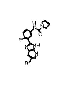 O=C(Nc1ccc(F)c(-c2nc3cc(Br)cnc3[nH]2)c1)N1CC=CC1